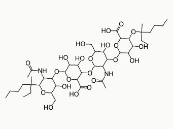 CCCCC(C)(CC)OC1C(C(=O)O)OC(OC2C(O)C(CO)OC(OC3C(C(=O)O)OC(OC4C(O)C(CO)OC(C(C)(CC)CCCC)C4NC(C)=O)C(O)C3O)C2NC(C)=O)C(O)C1O